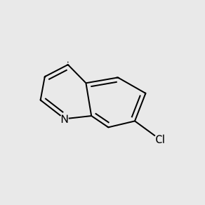 Clc1ccc2[c]ccnc2c1